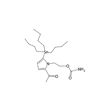 CCC[CH2][Sn]([CH2]CCC)([CH2]CCC)[c]1ccc(C(C)=O)n1CCOC(N)=O